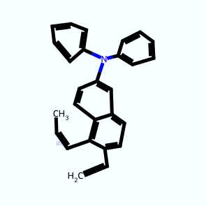 C=Cc1ccc2cc(N(c3ccccc3)c3ccccc3)ccc2c1/C=C\C